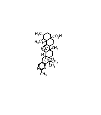 Cc1ncc2c(n1)C(C)(C)[C@@H]1CC[C@]3(C)[C@H](CC=C4[C@@H]5[C@@H](C)[C@H](C)CC[C@]5(C(=O)O)CC[C@]43C)[C@@]1(C)C2